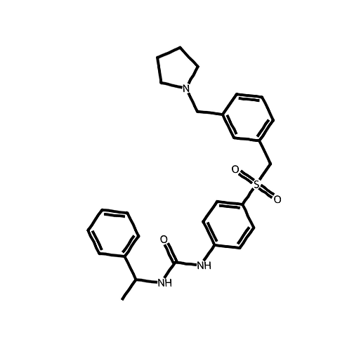 CC(NC(=O)Nc1ccc(S(=O)(=O)Cc2cccc(CN3CCCC3)c2)cc1)c1ccccc1